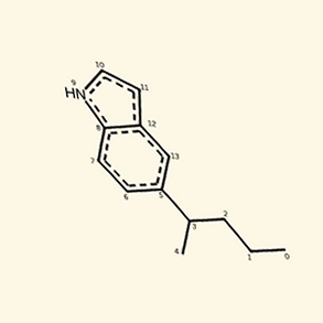 CCCC(C)c1ccc2[nH]ccc2c1